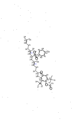 CC(=O)Oc1c(C(C)(C)C)cc2c(c1C(C)(C)C)CC(CC/C=C(\C)CC(/C=C(\C)CCC=C(C)C)S(=O)(=O)c1ccc(C)cc1)O2